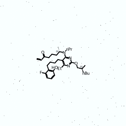 C=CC(=O)CCC[C@H](C)N(CCC)c1nc(OC[C@@H](C)CCCC)nc(CC)c1CCCCc1c(O)cccc1F